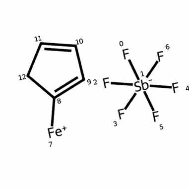 [F][Sb-]([F])([F])([F])([F])[F].[Fe+][C]1=CC=CC1